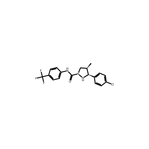 C[C@@H]1CN(C(=O)Nc2ccc(C(F)(F)F)cc2)N[C@@H]1c1ccc(Cl)cc1